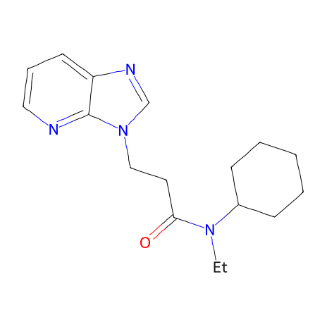 CCN(C(=O)CCn1cnc2cccnc21)C1CCCCC1